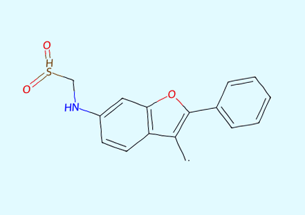 [CH2]c1c(-c2ccccc2)oc2cc(NC[SH](=O)=O)ccc12